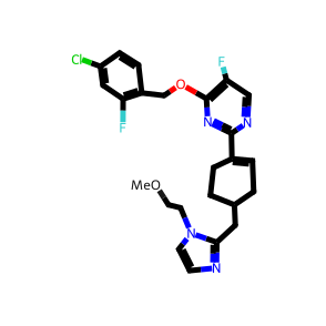 COCCn1ccnc1CC1CC=C(c2ncc(F)c(OCc3ccc(Cl)cc3F)n2)CC1